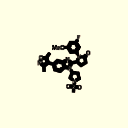 COc1cc(F)cc(N2C(=O)CCC2c2nc3cc(-c4c(C)noc4C)ccc3n2C2CCN(S(C)(=O)=O)C2)c1